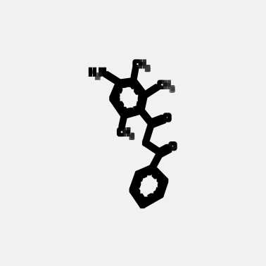 Cc1cc(N)c(C)c(C)c1C(=O)CC(=O)c1ccccc1